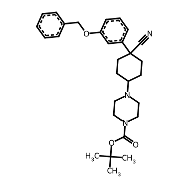 CC(C)(C)OC(=O)N1CCN(C2CCC(C#N)(c3cccc(OCc4ccccc4)c3)CC2)CC1